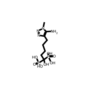 Cn1nnc(CCCCC(O)(P(=O)(O)O)P(=O)(O)O)c1N